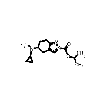 CC(C)OC(=O)n1cc2c(n1)CCC(N(C)C1CC1)C2